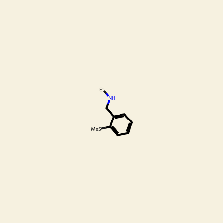 CCNCc1ccccc1SC